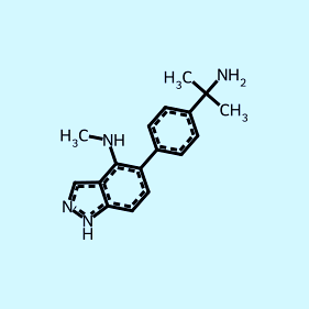 CNc1c(-c2ccc(C(C)(C)N)cc2)ccc2[nH]ncc12